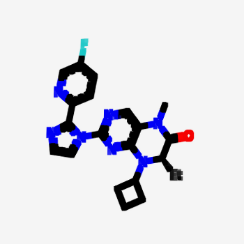 CC[C@@H]1C(=O)N(C)c2cnc(-n3ccnc3-c3ccc(F)cn3)nc2N1C1CCC1